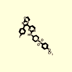 O=S(=O)(c1ccc(OC(F)(F)F)cc1)N1CCC(Nc2nccc(-c3c(-c4ccc(F)cc4)nc4occn34)n2)CC1